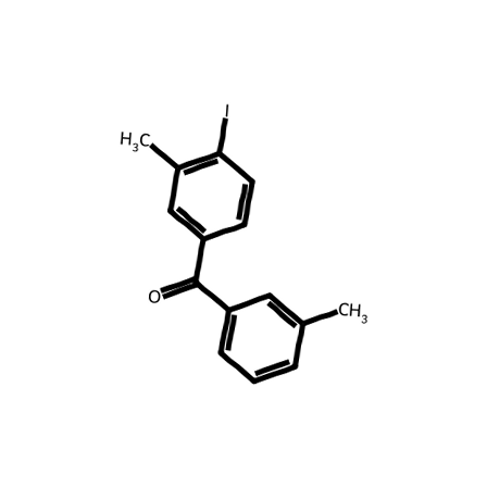 Cc1cccc(C(=O)c2ccc(I)c(C)c2)c1